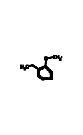 [CH2]Oc1ccccc1CC